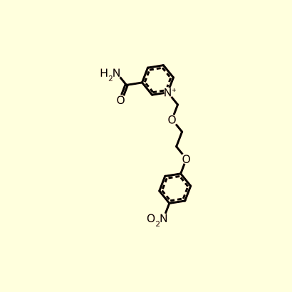 NC(=O)c1ccc[n+](COCCOc2ccc([N+](=O)[O-])cc2)c1